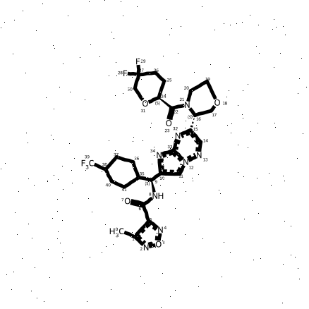 Cc1nonc1C(=O)N[C@H](c1cn2ncc([C@H]3COCCN3C(=O)[C@@H]3CCC(F)(F)CO3)nc2n1)C1CCC(C(F)(F)F)CC1